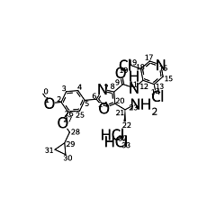 COc1ccc(-c2nc(C(=O)Nc3c(Cl)cncc3Cl)c([C@H](C)N)o2)cc1OCC1CC1.Cl.Cl